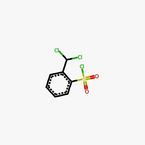 O=S(=O)(Cl)c1ccccc1C(Cl)Cl